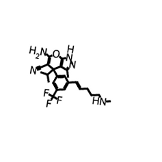 CNCCCC=Cc1cc(C(F)(F)F)cc(C2(C(C)C)C(C#N)=C(N)Oc3[nH]nc(C)c32)c1